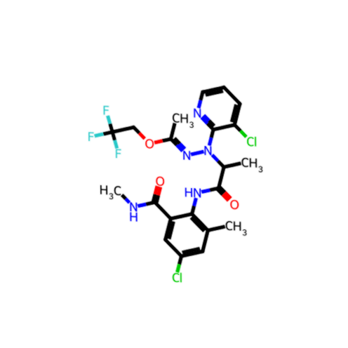 CNC(=O)c1cc(Cl)cc(C)c1NC(=O)C(C)N(/N=C(\C)OCC(F)(F)F)c1ncccc1Cl